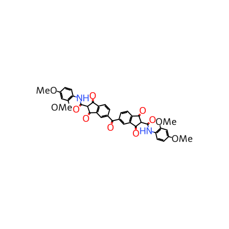 COc1ccc(NC(=O)C2C(=O)c3ccc(C(=O)c4ccc5c(c4)C(=O)C(C(=O)Nc4ccc(OC)cc4OC)C5=O)cc3C2=O)c(OC)c1